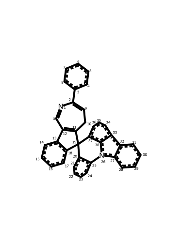 C1=NC(c2ccccc2)=CCC2=C1c1ccccc1C21c2ccccc2-n2c3ccccc3c3cccc1c32